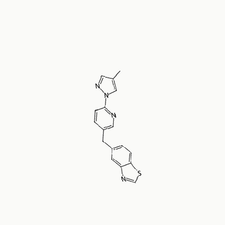 Cc1cnn(-c2ccc(Cc3ccc4scnc4c3)cn2)c1